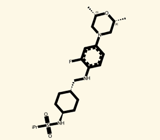 CC(C)S(=O)(=O)N[C@H]1CC[C@H](CNc2ccc(N3C[C@@H](C)O[C@@H](C)C3)cc2F)CC1